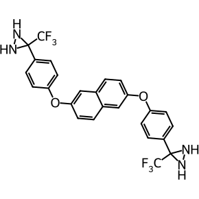 FC(F)(F)C1(c2ccc(Oc3ccc4cc(Oc5ccc(C6(C(F)(F)F)NN6)cc5)ccc4c3)cc2)NN1